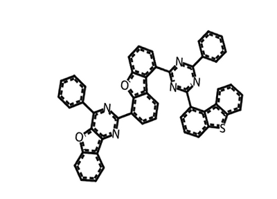 c1ccc(-c2nc(-c3cccc4oc5c(-c6nc(-c7ccccc7)c7oc8ccccc8c7n6)cccc5c34)nc(-c3cccc4sc5ccccc5c34)n2)cc1